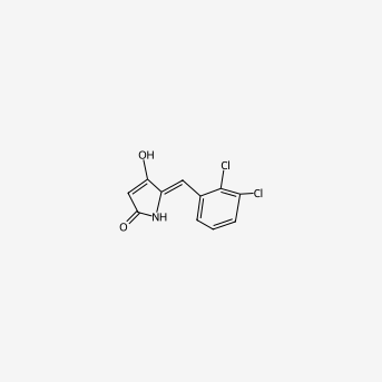 O=C1C=C(O)/C(=C/c2cccc(Cl)c2Cl)N1